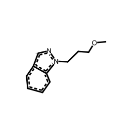 COCCCn1n[c]c2ccccc21